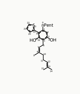 CCCCCc1cc(O)c(CC=C(C)CCC=C(C)C)c(O)c1-c1cccs1